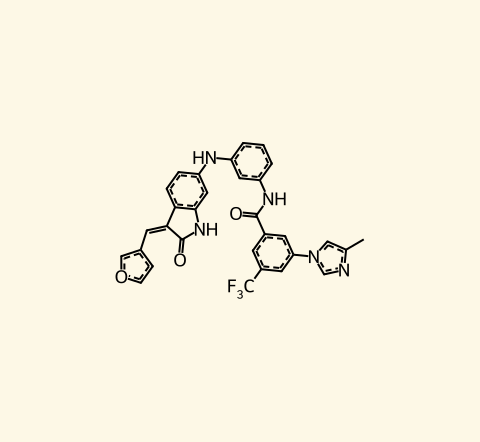 Cc1cn(-c2cc(C(=O)Nc3cccc(Nc4ccc5c(c4)NC(=O)/C5=C\c4ccoc4)c3)cc(C(F)(F)F)c2)cn1